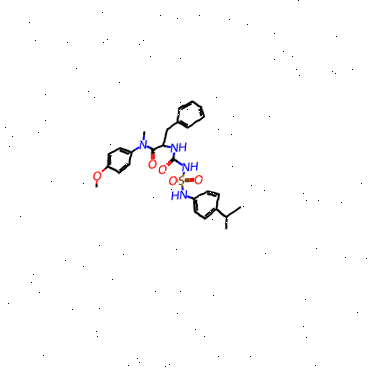 COc1ccc(N(C)C(=O)C(Cc2ccccc2)NC(=O)NS(=O)(=O)Nc2ccc(C(C)C)cc2)cc1